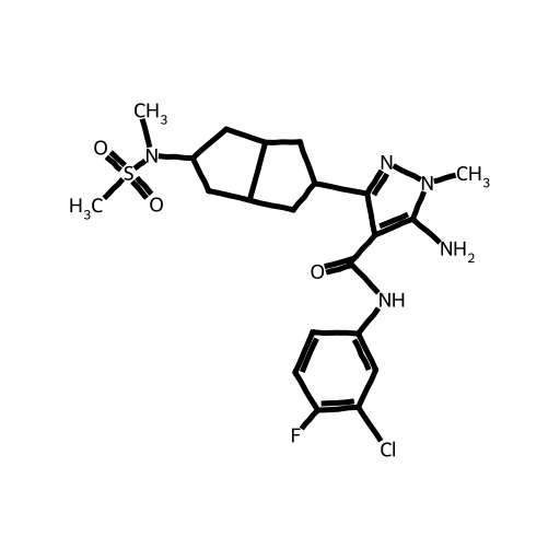 CN(C1CC2CC(c3nn(C)c(N)c3C(=O)Nc3ccc(F)c(Cl)c3)CC2C1)S(C)(=O)=O